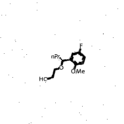 CCC[C@H](OCCO)c1cc(F)ccc1OC